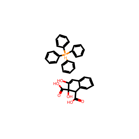 O=C(O)C1c2ccccc2C=C(O)C1(O)C(=O)O.c1ccc([PH](c2ccccc2)(c2ccccc2)c2ccccc2)cc1